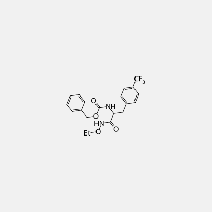 CCONC(=O)C(Cc1ccc(C(F)(F)F)cc1)NC(=O)OCc1ccccc1